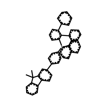 CC1(C)c2ccccc2-c2ccc(-c3ccc(N(c4ccccc4)c4cccc(-c5ccccc5)c4-c4ccccc4-c4ccccc4)cc3)cc21